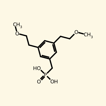 COCCc1cc(CCOC)cc(CP(=O)(O)O)c1